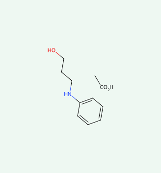 CC(=O)O.OCCCNc1ccccc1